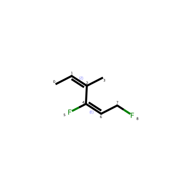 C/C=C(C)\C(F)=C/CF